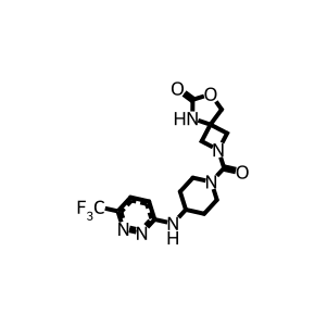 O=C1NC2(CO1)CN(C(=O)N1CCC(Nc3ccc(C(F)(F)F)nn3)CC1)C2